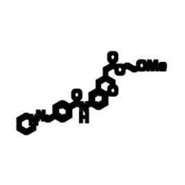 COCCOC(=O)CC1COc2ccc(NC(=O)c3ccc(C=NN4CCCCC4)cc3)cc2C1